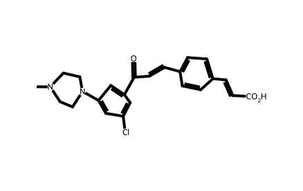 CN1CCN(c2cc(Cl)cc(C(=O)C=Cc3ccc(C=CC(=O)O)cc3)c2)CC1